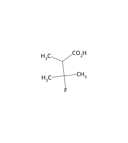 CC(C(=O)O)C(C)(C)F